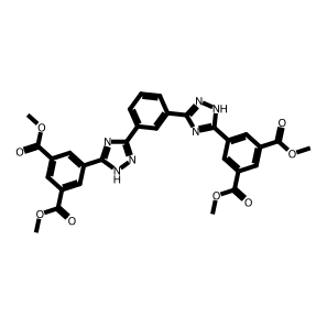 COC(=O)c1cc(C(=O)OC)cc(-c2nc(-c3cccc(-c4n[nH]c(-c5cc(C(=O)OC)cc(C(=O)OC)c5)n4)c3)n[nH]2)c1